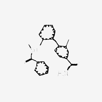 CNC(=O)c1ccccc1.Cc1ccccc1-c1ccc(C(N)=O)cc1C